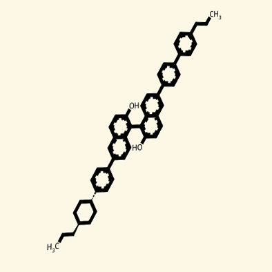 CCCc1ccc(-c2ccc(-c3ccc4c(-c5c(O)ccc6cc(-c7ccc([C@H]8CC[C@H](CCC)CC8)cc7)ccc56)c(O)ccc4c3)cc2)cc1